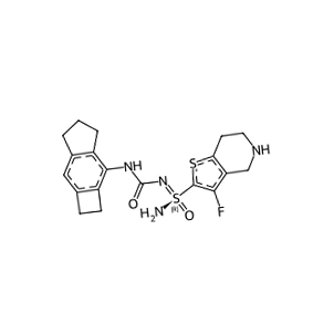 N[S@@](=O)(=NC(=O)Nc1c2c(cc3c1CC3)CCC2)c1sc2c(c1F)CNCC2